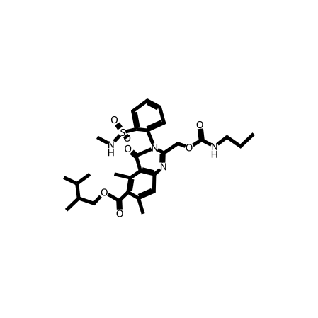 CCCNC(=O)OCc1nc2cc(C)c(C(=O)OCC(C)C(C)C)c(C)c2c(=O)n1-c1ccccc1S(=O)(=O)NC